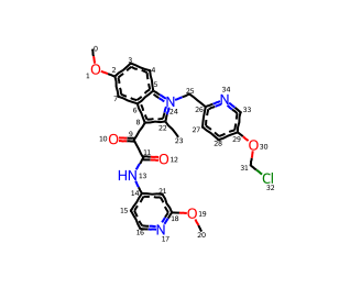 COc1ccc2c(c1)c(C(=O)C(=O)Nc1ccnc(OC)c1)c(C)n2Cc1ccc(OCCl)cn1